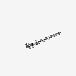 CCCOCCOCCOCCOCCOCCOCCOCCOCCOCCC(=O)NCCNC(=O)CC[C@H](N)C(=O)OCC(C)C